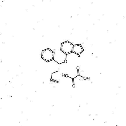 CNCC[C@@H](Oc1cccc2ccsc12)c1ccccc1.O=C(O)C(=O)O